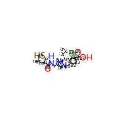 CCCCc1nc(CNC(=O)C(CS)CC(C)C)cn1Cc1ccc(C(=O)O)c(Br)c1